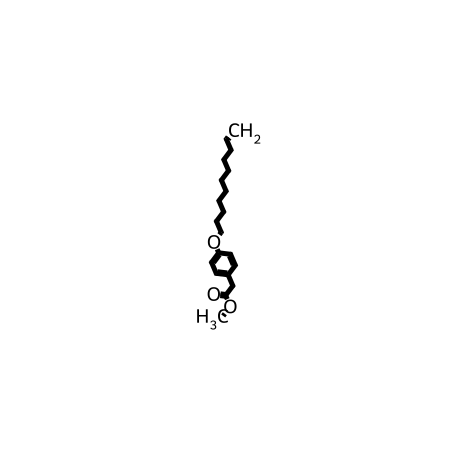 C=CCCCCCCCCCOc1ccc(CC(=O)OC)cc1